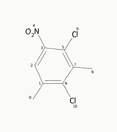 Cc1cc([N+](=O)[O-])c(Cl)c(C)c1Cl